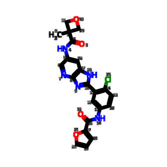 CC1(C(=O)Nc2cnc3nc(-c4cc(NC(=O)c5ccco5)ccc4Cl)[nH]c3c2)COC1